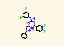 O=C(/N=C(/Nc1cc(F)cc(Cl)c1)NC1CC(c2ccccc2)NN1)c1ccc(F)c(F)c1